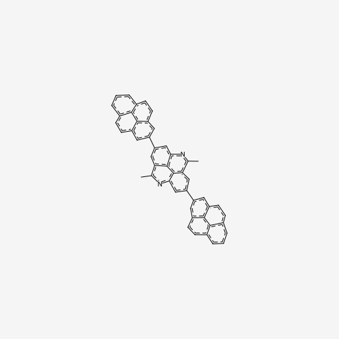 Cc1nc2cc(-c3cc4ccc5cccc6ccc(c3)c4c56)cc3c(C)nc4cc(-c5cc6ccc7cccc8ccc(c5)c6c78)cc1c4c23